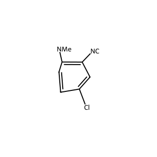 [C-]#[N+]c1cc(Cl)ccc1NC